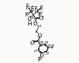 O=C(OCCOC(=O)C(O)(C(F)(F)F)C(F)(F)F)c1cc(F)cc(F)c1